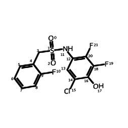 O=S(=O)(Cc1ccccc1F)Nc1cc(Cl)c(O)c(F)c1F